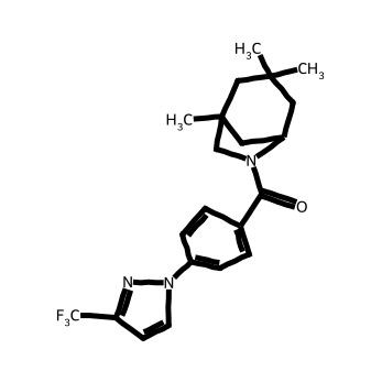 CC1(C)CC2CC(C)(CN2C(=O)c2ccc(-n3ccc(C(F)(F)F)n3)cc2)C1